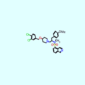 COc1ccc(CC(CN2CCC(OCc3ccc(Cl)c(Cl)c3)CC2)N(C)S(=O)(=O)c2cccc3cnccc23)cc1